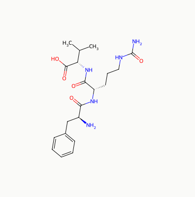 CC(C)[C@H](NC(=O)[C@H](CCCNC(N)=O)NC(=O)[C@@H](N)Cc1ccccc1)C(=O)O